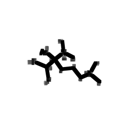 CC(=O)C(CCCN(C)C)(C(F)F)N(C)C